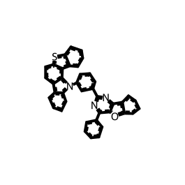 c1ccc(-c2nc(-c3cccc(-n4c5ccccc5c5ccc6sc7ccccc7c6c54)c3)nc3c2oc2ccccc23)cc1